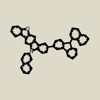 c1ccc2c(c1)-c1cc(-c3ccc4c(c3)c3cc5oc6ccccc6c5cc3n4-c3ccc4ccccc4c3)ccc1C2c1cccc2ccccc12